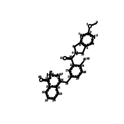 COc1ncc2c(n1)CN(C(=O)c1cc(Cc3n[nH]c(=O)c4ccccc34)ccc1F)C2